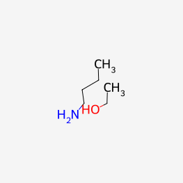 CCCCN.CCO